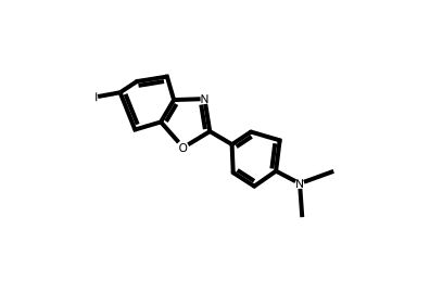 CN(C)c1ccc(-c2nc3ccc(I)cc3o2)cc1